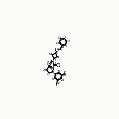 O=c1n(C2CC(OCc3ccccc3)C2)nc2n1[C@H](c1cc(F)cc(F)c1)CC2